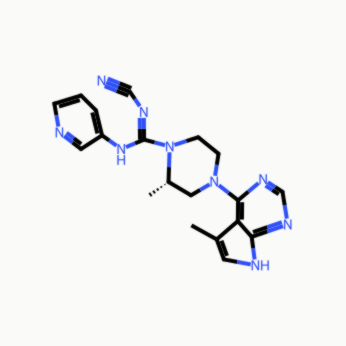 Cc1c[nH]c2ncnc(N3CCN(/C(=N/C#N)Nc4cccnc4)[C@@H](C)C3)c12